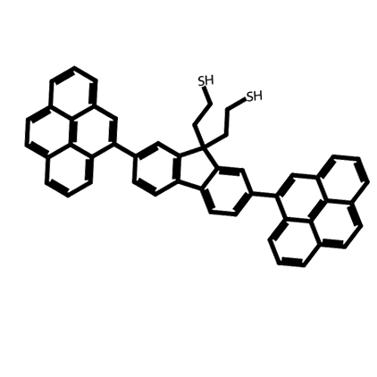 SCCC1(CCS)c2cc(-c3cc4cccc5ccc6cccc3c6c54)ccc2-c2ccc(-c3cc4cccc5ccc6cccc3c6c54)cc21